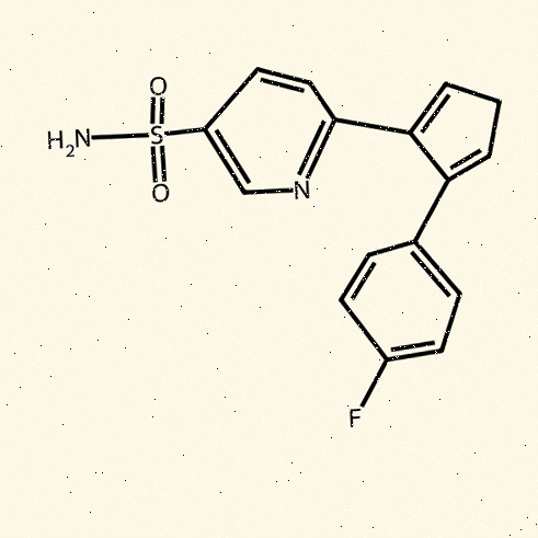 NS(=O)(=O)c1ccc(C2=CCC=C2c2ccc(F)cc2)nc1